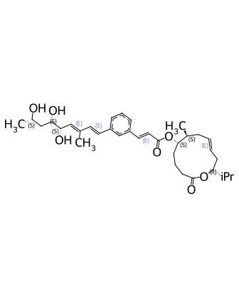 CC(/C=C/c1cccc(/C=C/C(=O)O[C@H]2CCCC(=O)O[C@@H](C(C)C)C/C=C/C[C@@H]2C)c1)=C\[C@H](O)[C@@H](O)C[C@H](C)O